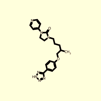 CC(CCCN1CCN(c2ccncc2)C1=O)COc1ccc(-c2nn[nH]n2)cc1